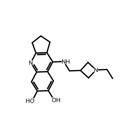 CCN1CC(CNc2c3c(nc4cc(O)c(O)cc24)CCC3)C1